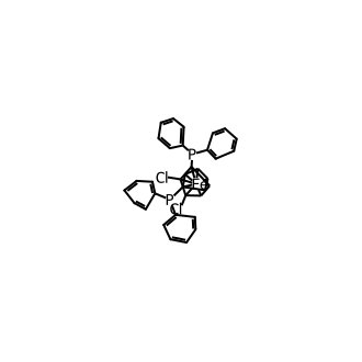 Cl[C]12[CH]3[CH]4[C]5(P(c6ccccc6)c6ccccc6)[C]1(Cl)[Fe]34251678[CH]2[CH]1[CH]6[C]7(P(c1ccccc1)c1ccccc1)[CH]28